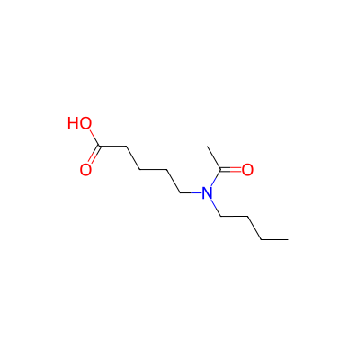 CCCCN(CCCCC(=O)O)C(C)=O